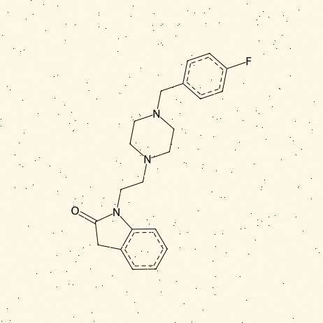 O=C1Cc2ccccc2N1CCN1CCN(Cc2ccc(F)cc2)CC1